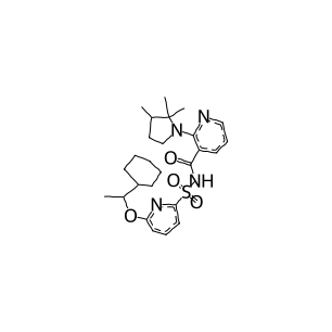 CC(Oc1cccc(S(=O)(=O)NC(=O)c2cccnc2N2CCC(C)C2(C)C)n1)C1CCCCC1